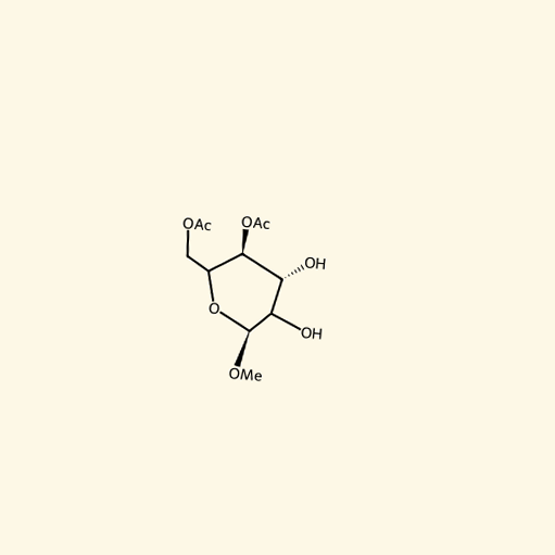 CO[C@H]1OC(COC(C)=O)[C@@H](OC(C)=O)[C@H](O)C1O